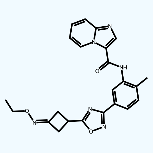 CCON=C1CC(c2nc(-c3ccc(C)c(NC(=O)c4cnc5ccccn45)c3)no2)C1